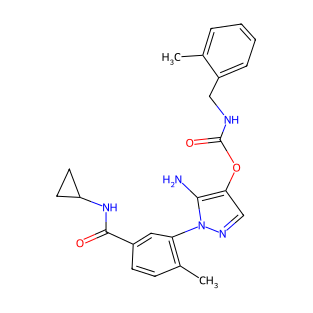 Cc1ccccc1CNC(=O)Oc1cnn(-c2cc(C(=O)NC3CC3)ccc2C)c1N